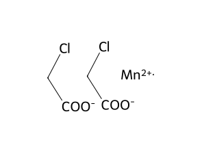 O=C([O-])CCl.O=C([O-])CCl.[Mn+2]